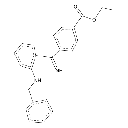 CCOC(=O)c1ccc(C(=N)c2ccccc2NCc2ccccc2)cc1